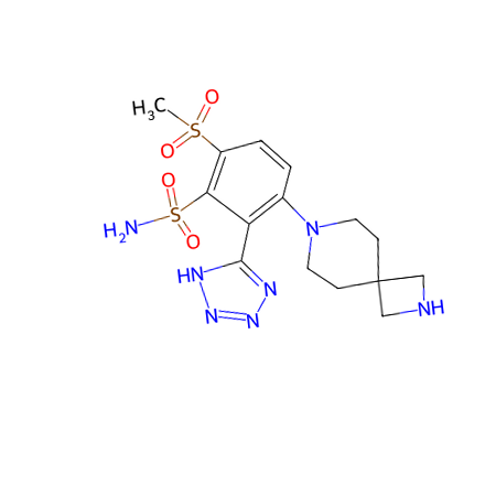 CS(=O)(=O)c1ccc(N2CCC3(CC2)CNC3)c(-c2nnn[nH]2)c1S(N)(=O)=O